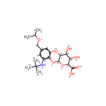 CC(C)OCc1ccc(OC2OC(C(=O)O)C(O)C(O)C2O)c(NC(C)(C)C)c1